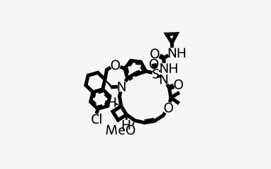 CO[C@H]1C=CCOC(C)(C)C(=O)N=[S@@](=O)(NC(=O)NC2CC2)c2ccc3c(c2)N(C[C@@H]2CC[C@H]21)C[C@@]1(CCCc2cc(Cl)ccc21)CO3